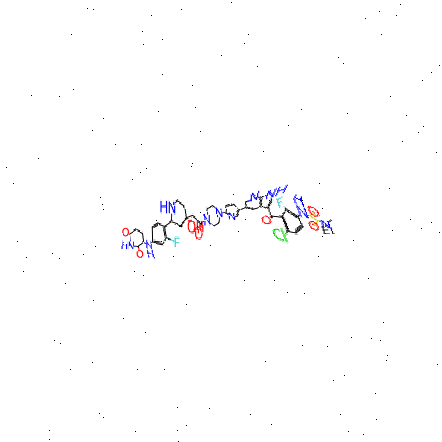 CCN(C)S(=O)(=O)Nc1ccc(Cl)c(C(=O)c2c[nH]c3ncc(-c4ccc(N5CCN(C(=O)CC6(O)CCNC(c7ccc(NC8CCC(=O)NC8=O)cc7F)C6)CC5)nc4)cc23)c1F